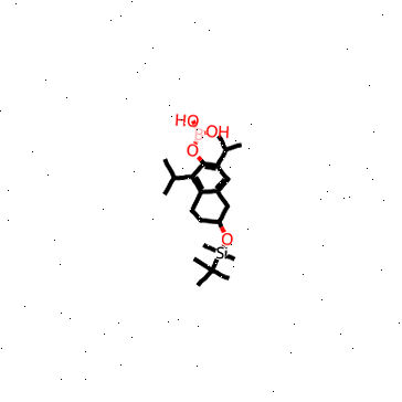 CC(C)c1cc2c(c(C(C)C)c1OB(O)O)CCC(O[Si](C)(C)C(C)(C)C)C2